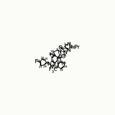 CC(C)n1ncc(S(=O)(=O)N2CC[C@H]3Cc4c(cnn4-c4ccc(F)cc4)C[C@]3(C(=O)c3cc(C(F)(F)F)ccn3)C2)n1